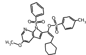 COc1cnc2c(c1)cc(C(=CC1CCCCC1)OS(=O)(=O)c1ccc(C)cc1)n2S(=O)(=O)c1ccccc1